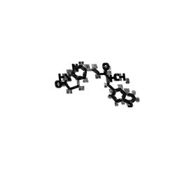 CN(Cc1ccc2sccc2c1)C(=O)C=Cc1cnc2c(c1)CCC(=O)N2